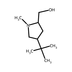 CN1CC(C(C)(C)C)CC1CO